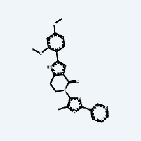 COc1ccc(-c2cc3c([nH]2)CCN(c2nc(-c4cccnc4)sc2C)C3=O)c(OC)c1